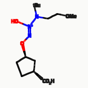 COCCN(/[N+](O)=N/O[C@@H]1CC[C@H](C(=O)O)C1)C(C)(C)C